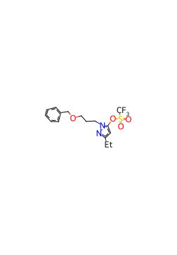 CCc1cc(OS(=O)(=O)C(F)(F)F)n(CCCOCc2ccccc2)n1